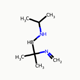 C=NC(C)(C)BNC(C)C